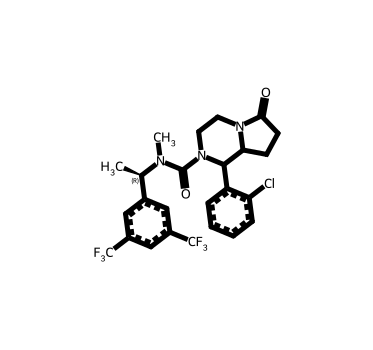 C[C@H](c1cc(C(F)(F)F)cc(C(F)(F)F)c1)N(C)C(=O)N1CCN2C(=O)CCC2C1c1ccccc1Cl